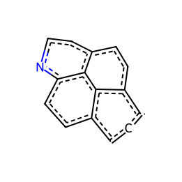 [c]1ccc2ccc3nccc4ccc1c2c43